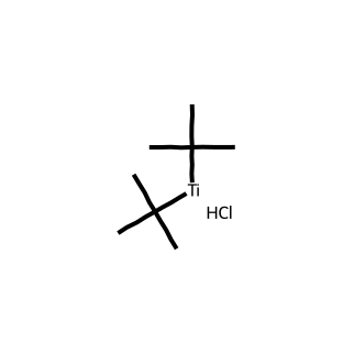 C[C](C)(C)[Ti][C](C)(C)C.Cl